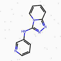 c1cncc(Nc2nnc3ccccn23)c1